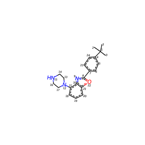 CC(C)(C)c1ccc(-c2nc3c(N4CCNCC4)cccc3o2)cc1